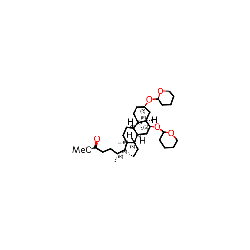 COC(=O)CC[C@@H](C)[C@H]1CC[C@H]2[C@@H]3C[C@H](OC4CCCCO4)[C@@H]4C[C@H](OC5CCCCO5)CC[C@]4(C)[C@H]3CC[C@]12C